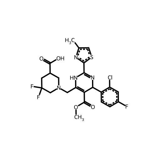 COC(=O)C1=C(CN2CC(C(=O)O)CC(F)(F)C2)NC(c2nc(C)cs2)=NC1c1ccc(F)cc1Cl